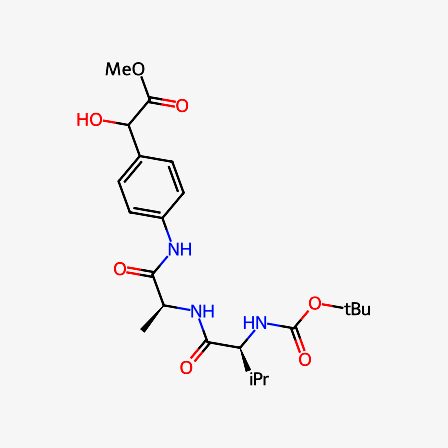 COC(=O)C(O)c1ccc(NC(=O)[C@H](C)NC(=O)[C@@H](NC(=O)OC(C)(C)C)C(C)C)cc1